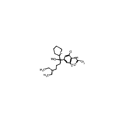 CCN(CC)CCCC(O)(c1cc(Cl)c(NC(C)=O)c(Cl)c1)C1CCCCC1